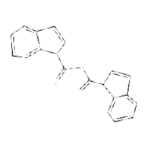 O=C(OC(=O)C1C=Cc2ccccc21)C1C=Cc2ccccc21